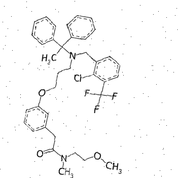 COCCN(C)C(=O)Cc1cccc(OCCCN(Cc2cccc(C(F)(F)F)c2Cl)C(C)(c2ccccc2)c2ccccc2)c1